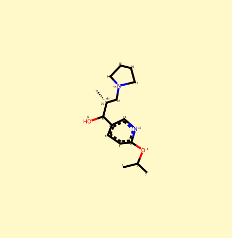 CC(C)Oc1ccc(C(O)[C@H](C)CN2CCCC2)cn1